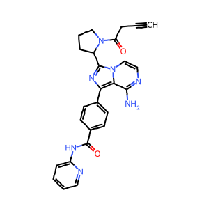 C#CCC(=O)N1CCCC1c1nc(-c2ccc(C(=O)Nc3ccccn3)cc2)c2c(N)nccn12